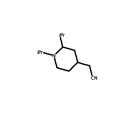 CC(C)C1CC(CC#N)CCN1C(C)C